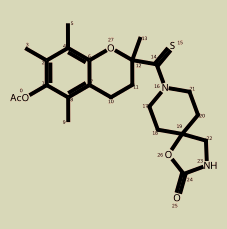 CC(=O)Oc1c(C)c(C)c2c(c1C)CCC(C)(C(=S)N1CCC3(CC1)CNC(=O)O3)O2